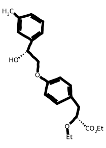 CCOC(=O)[C@@H](Cc1ccc(OC[C@H](O)c2cccc(C)c2)cc1)OCC